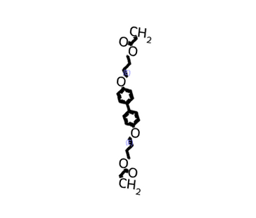 C=CC(=O)OCC/C=C/Oc1ccc(-c2ccc(O/C=C/CCOC(=O)C=C)cc2)cc1